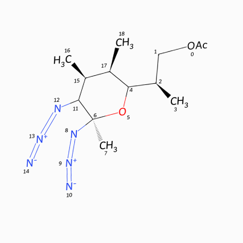 CC(=O)OC[C@@H](C)C1O[C@@](C)(N=[N+]=[N-])C(N=[N+]=[N-])[C@@H](C)[C@H]1C